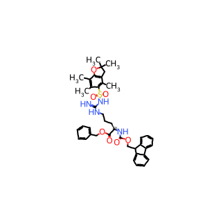 Cc1c(C)c(S(=O)(=O)NC(=N)NCCC[C@@H](NC(=O)OCC2c3ccccc3-c3ccccc32)C(=O)OCc2ccccc2)c(C)c2c1OC(C)(C)C2